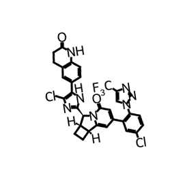 O=C1CCc2cc(-c3[nH]c([C@@H]4[C@H]5CC[C@H]5c5cc(-c6cc(Cl)ccc6-n6cc(C(F)(F)F)nn6)cc(=O)n54)nc3Cl)ccc2N1